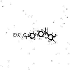 CCOC(=O)Cc1ccc(-c2ccc(Nc3ccc(C)c(C)c3)cc2)cc1